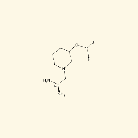 C[C@@H](N)CN1CCCC(OC(F)F)C1